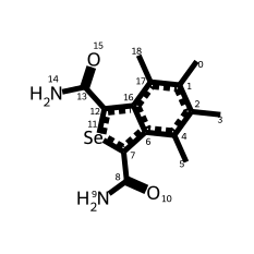 Cc1c(C)c(C)c2c(C(N)=O)[se]c(C(N)=O)c2c1C